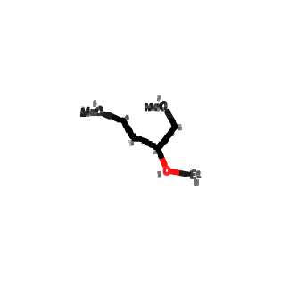 CCO[C](CCOC)COC